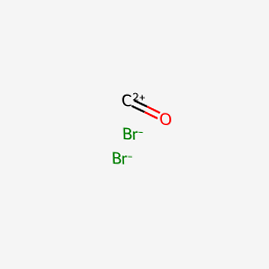 [Br-].[Br-].[C+2]=O